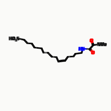 CNC(=O)C(=O)NCCCC/C=C\CCCCCCCCCS(=O)(=O)O